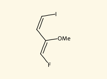 COC(/C=C\I)=C\F